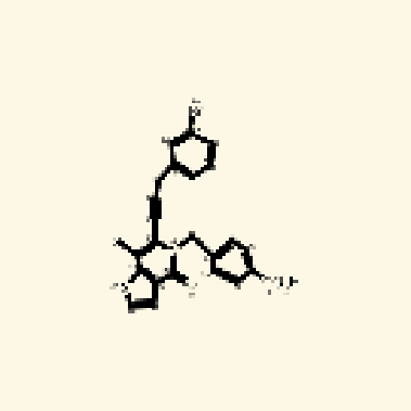 Cc1c(C#CCc2cccc(Br)c2)n(Cc2ccc(C(=O)O)cc2)c(=O)c2ccsc12